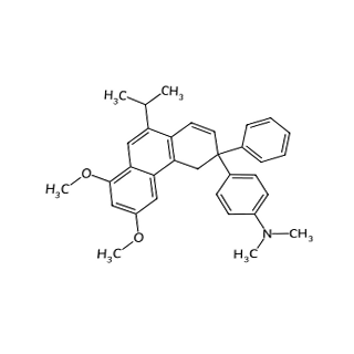 COc1cc(OC)c2cc(C(C)C)c3c(c2c1)CC(c1ccccc1)(c1ccc(N(C)C)cc1)C=C3